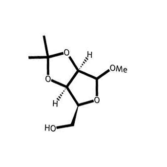 COC1O[C@@H](CO)[C@H]2OC(C)(C)O[C@@H]12